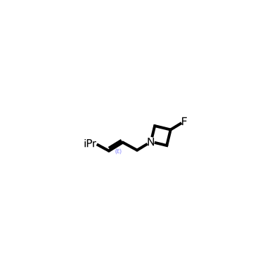 CC(C)/C=C/CN1CC(F)C1